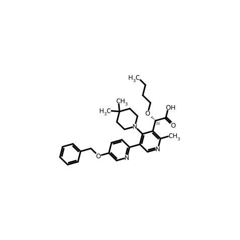 CCCCO[C@H](C(=O)O)c1c(C)ncc(-c2ccc(OCc3ccccc3)cn2)c1N1CCC(C)(C)CC1